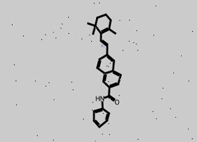 CC1=C(/C=C/c2ccc3cc(C(=O)Nc4ccccc4)ccc3c2)C(C)(C)CCC1